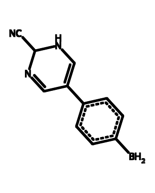 Bc1ccc(C2=CNC(C#N)N=C2)cc1